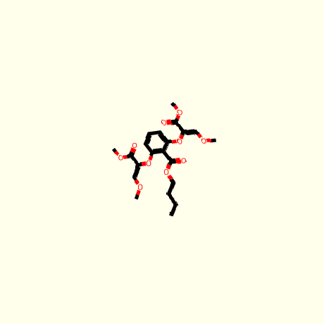 CCCCOC(=O)c1c(O/C(=C\OC)C(=O)OC)cccc1O/C(=C\OC)C(=O)OC